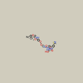 Cc1ncsc1-c1ccc(CNC(=O)[C@@H]2C[C@@H](O)CN2C(=O)[C@@H](NC(=O)CN2CCC(OCCOc3ccc(C(=O)NC4C(C)(C)C(Oc5ccc(C#N)c(C(F)(F)F)c5)C4(C)C)cc3)CC2)C(C)(C)C)cc1